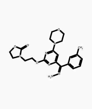 Cc1cccc(C(=NN)c2cc(N3CCOCC3)nc(OCCN3CCOC3=O)n2)c1